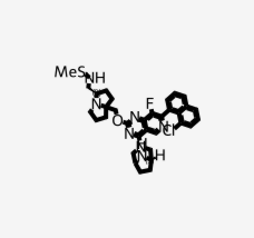 CSNC[C@H]1CCC2(COc3nc(N4CC5CC[C@@H](C4)N5)c4cnc(-c5cccc6cccc(Cl)c56)c(F)c4n3)CCCN12